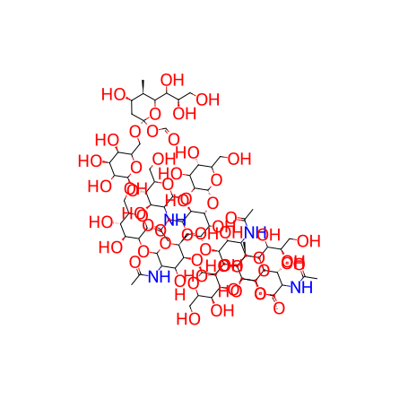 CC(=O)NC1C(OC2[C@@H](OCC3O[C@@H](O[C@@H]4C(CO)O[C@@H](O[C@@H]5C(CO)O[C@@H](C)C(NC(C)=O)[C@H]5O)C(NC(C)=O)[C@H]4O)C(O)[C@@H](O[C@H]4OC(CO)[C@@H](O)C(O)C4O[C@@H]4OC(CO)[C@@H](O[C@@H]5OC(CO[C@]6(OC=O)C[C@@H](O)[C@@H](C)C(C(O)[C@H](O)CO)O6)[C@H](O)[C@H](O)C5O)[C@H](O)C4NC(C)=O)[C@@H]3O)OC(CO)[C@@H](O)[C@@H]2O)O[C@@H](CO)[C@@H](O[C@@H]2OC(CO)[C@H](O)[C@H](OC3[C@H](OC=O)OC(C(O)[C@H](O)CO)[C@H](C)[C@@H]3O)C2O)C1O